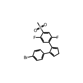 CS(=O)(=O)c1cc(F)c(C2=CCC=C2c2ccc(Br)cc2)cc1F